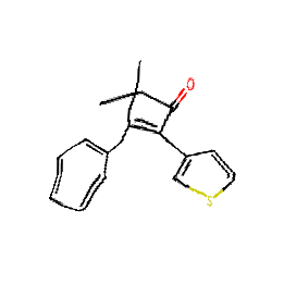 CC1(C)C(=O)C(c2ccsc2)=C1c1ccccc1